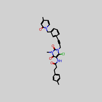 Cc1ccc(CCC(=O)Nc2c(Cl)n(CC#Cc3cccc(Cn4ccc(C)cc4=O)c3)c(=O)n(C)c2=O)cc1